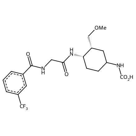 COC[C@@H]1CC(NC(=O)O)CC[C@@H]1NC(=O)CNC(=O)c1cccc(C(F)(F)F)c1